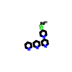 [Cl-].[Cl-].[Pd+2].c1ccncc1.c1ccncc1.c1ccncc1.c1ccncc1